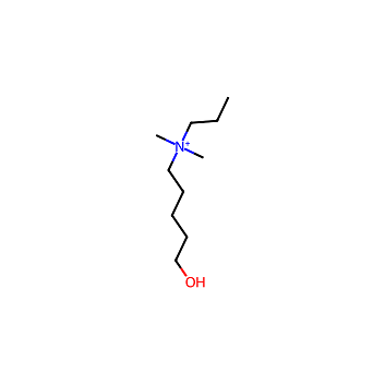 CCC[N+](C)(C)CCCCCO